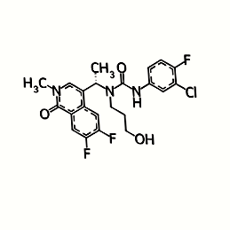 C[C@@H](c1cn(C)c(=O)c2cc(F)c(F)cc12)N(CCCO)C(=O)Nc1ccc(F)c(Cl)c1